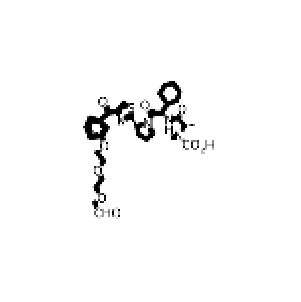 C[C@@H](C(=O)N[C@H](C(=O)N1CCC[C@H]1c1nc(C(=O)c2cccc(OCCOCCOCC=O)c2)cs1)C1CCCCC1)N(C)C(=O)O